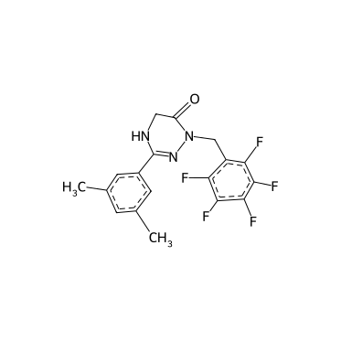 Cc1cc(C)cc(C2=NN(Cc3c(F)c(F)c(F)c(F)c3F)C(=O)CN2)c1